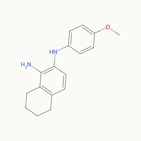 COc1ccc(Nc2ccc3c(c2N)CCCC3)cc1